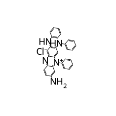 Nc1ccc2nc3cc(Nc4ccccc4)c(Nc4ccccc4)cc3[n+](-c3ccccc3)c2c1.[Cl-]